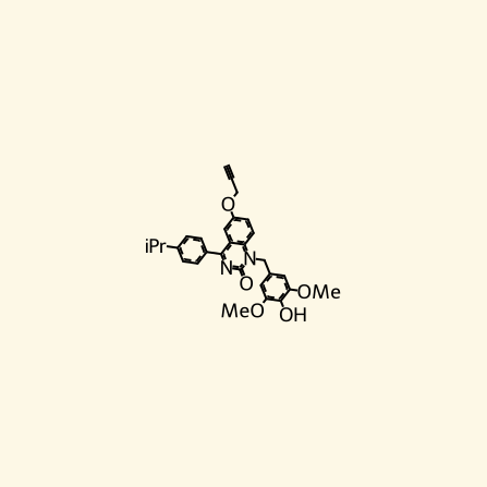 C#CCOc1ccc2c(c1)c(-c1ccc(C(C)C)cc1)nc(=O)n2Cc1cc(OC)c(O)c(OC)c1